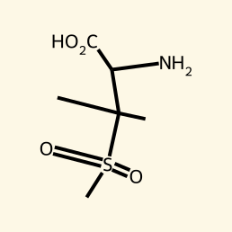 CC(C)(C(N)C(=O)O)S(C)(=O)=O